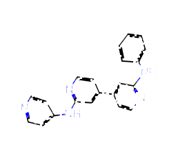 c1ccc(Nc2cc(-c3ccnc(Nc4ccncc4)c3)ccn2)cc1